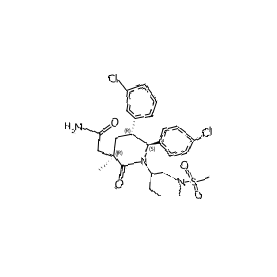 CCC(CN(C)S(C)(=O)=O)N1C(=O)[C@@](C)(CC(N)=O)C[C@H](c2cccc(Cl)c2)[C@H]1c1ccc(Cl)cc1